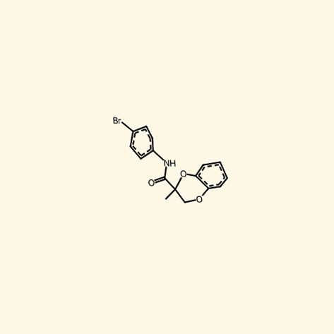 CC1(C(=O)Nc2ccc(Br)cc2)COc2ccccc2O1